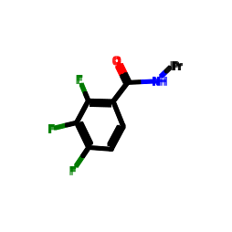 CC(C)NC(=O)c1ccc(F)c(F)c1F